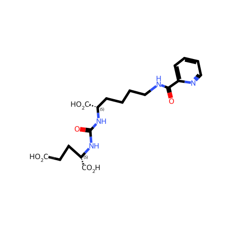 O=C(O)CC[C@H](NC(=O)N[C@@H](CCCCNC(=O)c1ccccn1)C(=O)O)C(=O)O